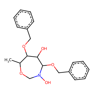 CC1OCN(O)C(OCc2ccccc2)C(O)C1OCc1ccccc1